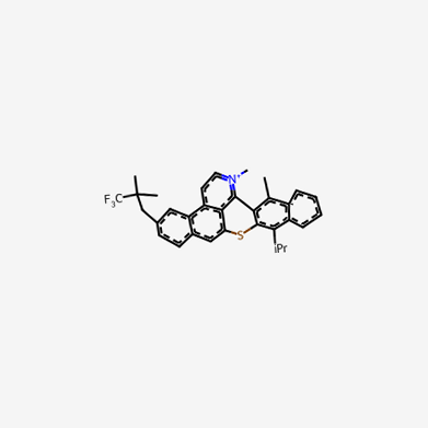 Cc1c2c(c(C(C)C)c3ccccc13)Sc1cc3ccc(CC(C)(C)C(F)(F)F)cc3c3cc[n+](C)c-2c13